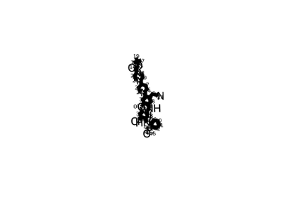 COc1cc(N2CCC(N3CCN(C(=O)OC(C)(C)C)CC3)CC2)c(CC#N)cc1Nc1ncc(Cl)c(Nc2ccccc2P(C)(C)=O)n1